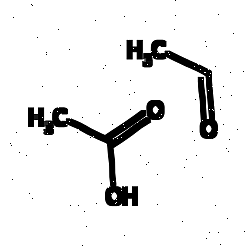 CC(=O)O.CC=O